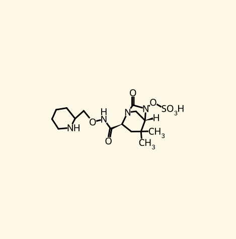 CC1(C)C[C@@H](C(=O)NOCC2CCCCN2)N2C[C@@H]1N(OS(=O)(=O)O)C2=O